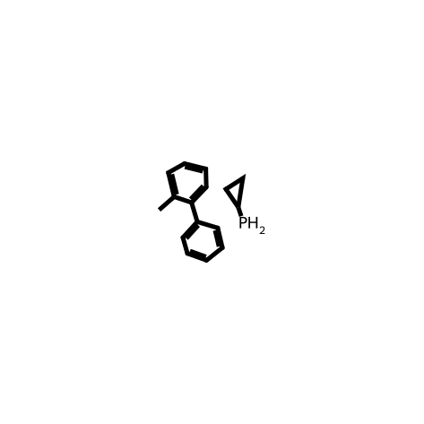 Cc1ccccc1-c1ccccc1.PC1CC1